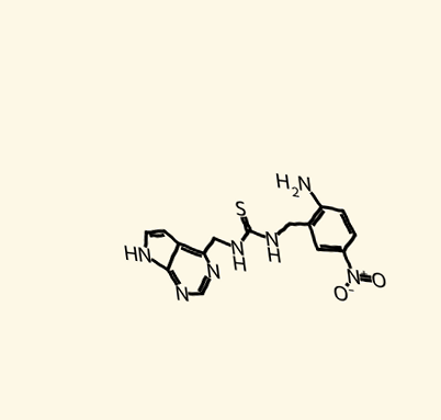 Nc1ccc([N+](=O)[O-])cc1CNC(=S)NCc1ncnc2[nH]ccc12